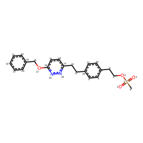 CS(=O)(=O)OCCc1ccc(CCc2ccc(OCc3ccccc3)nn2)cc1